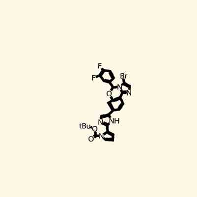 CC(C)(C)OC(=O)n1cccc1-c1ncc(-c2ccc3c(c2)OC(c2ccc(F)c(F)c2)n2c(Br)cnc2-3)[nH]1